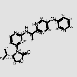 CC(Nc1nccc(N2C(=O)OC[C@@H]2C(C)C)n1)c1ncc(Oc2cccnc2)cn1